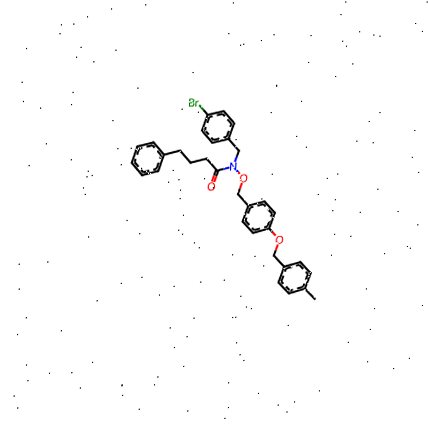 Cc1ccc(COc2ccc(CON(Cc3ccc(Br)cc3)C(=O)CCCc3ccccc3)cc2)cc1